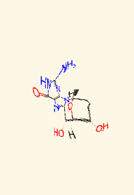 Nc1nc2c(nc3n2[C@H]2C[C@H](O)[C@H](O2)[C@@H]3O)c(=O)[nH]1